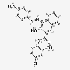 Cc1cc(Cl)ccc1NC(=O)c1cc2ccccc2c(N=Nc2ccc(N)cc2)c1O